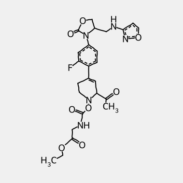 CCOC(=O)CNC(=O)ON1CCC(c2ccc(N3C(=O)OCC3CNc3ccon3)cc2F)=CC1C(C)=O